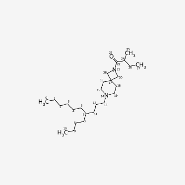 CCCCCCC(CCCC)CCCN1CCC2(CC1)CN(C(=O)C(C)CC)C2